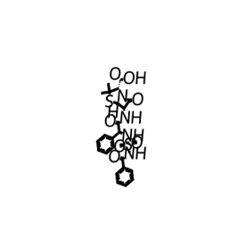 CC1(C)S[C@@H]2[C@H](NC(=O)C(NS(=O)(=O)NC(=O)c3ccccc3)c3ccccc3)C(=O)N2[C@H]1C(=O)O